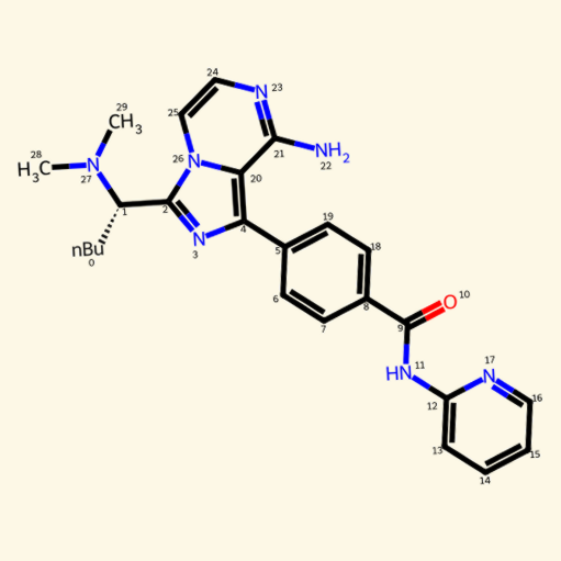 CCCC[C@@H](c1nc(-c2ccc(C(=O)Nc3ccccn3)cc2)c2c(N)nccn12)N(C)C